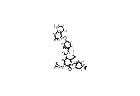 O=C(Nc1ccc(Oc2ncnc3c2CCNC3)cn1)c1cn(CC2CC2)c(=O)n(-c2ccc(F)cc2)c1=O